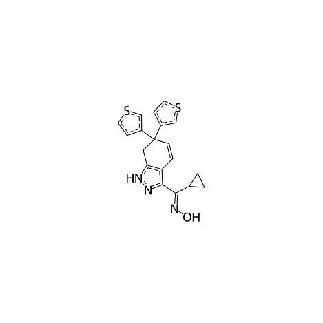 O/N=C(/c1n[nH]c2c1C=CC(c1ccsc1)(c1ccsc1)C2)C1CC1